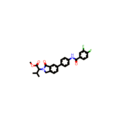 COC(=O)C(C(C)C)N1Cc2ccc(-c3ccc(NC(=O)c4ccc(F)c(F)c4)cc3)cc2C1=O